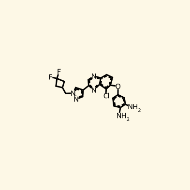 Nc1ccc(Oc2ccc3ncc(-c4cnn(CC5CC(F)(F)C5)c4)nc3c2Cl)cc1N